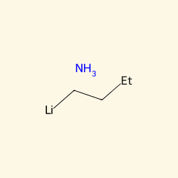 N.[Li][CH2]CCC